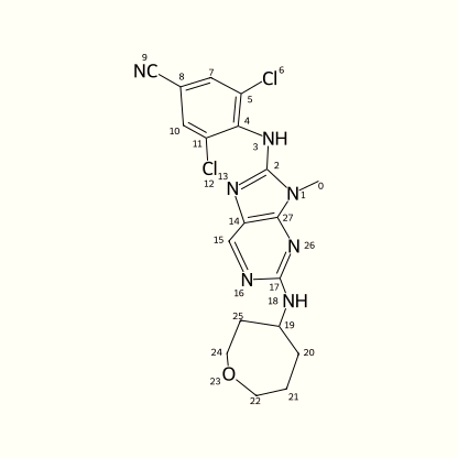 Cn1c(Nc2c(Cl)cc(C#N)cc2Cl)nc2cnc(NC3CCCOCC3)nc21